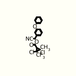 CC1(Cl)C(C(=O)OC(C#N)c2cccc(Oc3ccccc3)c2)C1(Cl)C(F)(F)F